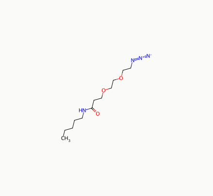 CCCCCNC(=O)CCOCCOCCN=[N+]=[N-]